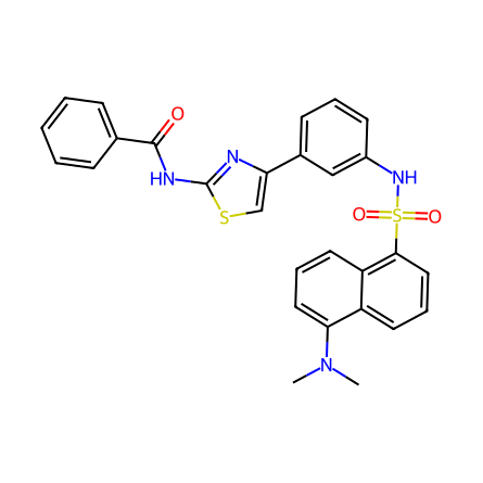 CN(C)c1cccc2c(S(=O)(=O)Nc3cccc(-c4csc(NC(=O)c5ccccc5)n4)c3)cccc12